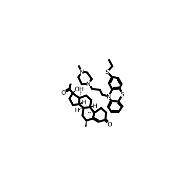 CC(=O)[C@@]1(O)CC[C@H]2[C@@H]3C[C@H](C)C4=CC(=O)CC[C@]4(C)[C@H]3CC[C@@]21C.CCSc1ccc2c(c1)N(CCCN1CCN(C)CC1)c1ccccc1S2